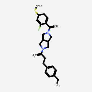 C=C(CCc1ccc(CC(F)(F)F)cc1)N1CC2CN(C(=C)C3=CCC(SNC)C=C3F)CC2C1